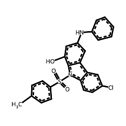 Cc1ccc(S(=O)(=O)n2c3ccc(Cl)cc3c3cc(Nc4ccccc4)cc(O)c32)cc1